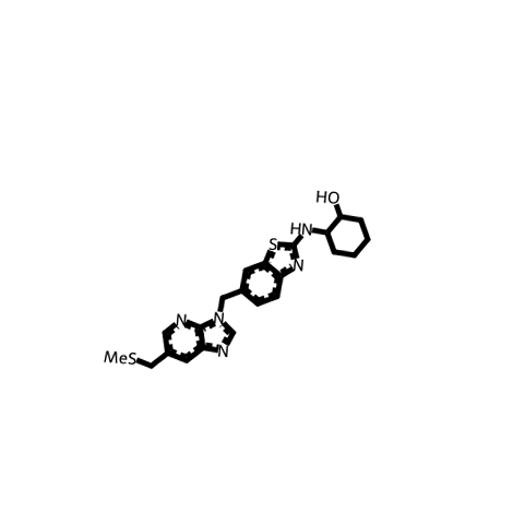 CSCc1cnc2c(c1)ncn2Cc1ccc2nc(NC3CCCCC3O)sc2c1